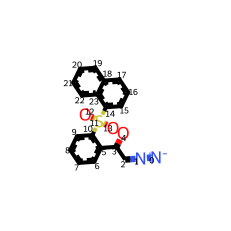 [N-]=[N+]=CC(=O)c1ccccc1S(=O)(=O)c1cccc2ccccc12